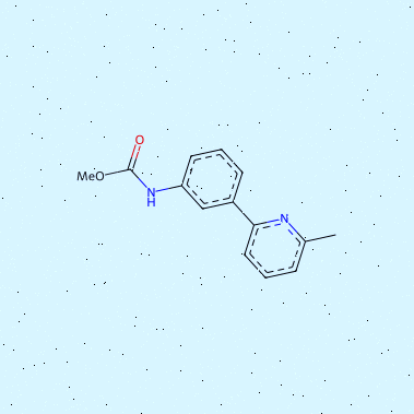 COC(=O)Nc1cccc(-c2cccc(C)n2)c1